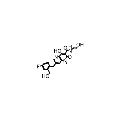 Cn1c(=O)c(C(=O)NCCO)c(O)c2ncc(Cc3ccc(F)cc3CO)cc21